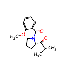 COc1ccccc1C(=O)N1CCC[C@H]1C(=O)C(C)C